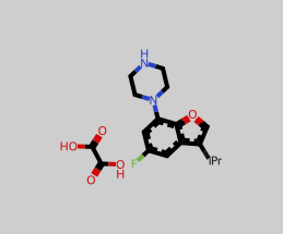 CC(C)c1coc2c(N3CCNCC3)cc(F)cc12.O=C(O)C(=O)O